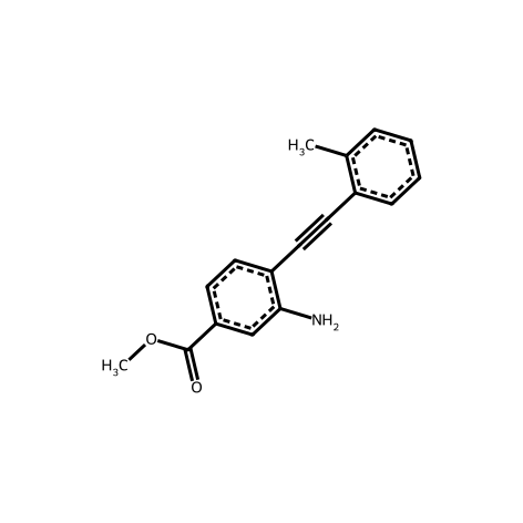 COC(=O)c1ccc(C#Cc2ccccc2C)c(N)c1